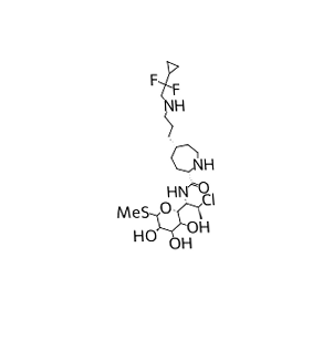 CSC1O[C@H]([C@H](NC(=O)[C@@H]2CC[C@H](CCCNCC(F)(F)C3CC3)CCN2)[C@H](C)Cl)C(O)C(O)[C@H]1O